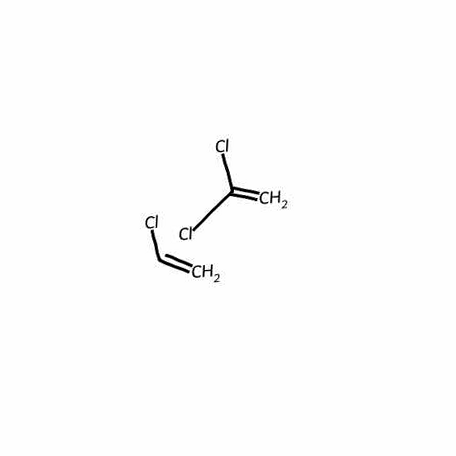 C=C(Cl)Cl.C=CCl